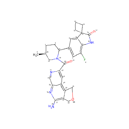 C[C@H]1CCC(c2cc(F)c3c(c2)C2(CCC2)C(=O)N3)N(C(=O)c2cc3c4c(c(N)nc3cn2)COC4)C1